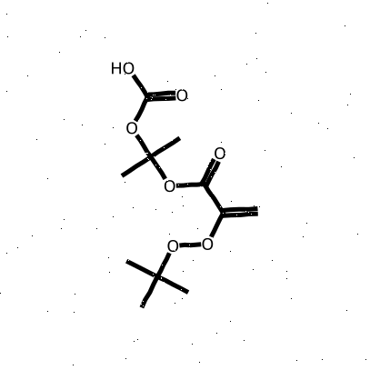 C=C(OOC(C)(C)C)C(=O)OC(C)(C)OC(=O)O